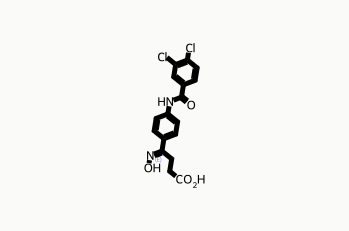 O=C(O)CC/C(=N\O)c1ccc(NC(=O)c2ccc(Cl)c(Cl)c2)cc1